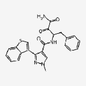 Cn1cc(C(=O)NC(Cc2ccccc2)C(=O)C(N)=O)c(-c2csc3ccccc23)n1